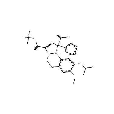 COc1cc2c(cc1NC(C)C)C1N(CC2)C(C(=O)OC(C)(C)C)=CC1(C(N)=O)c1cccs1